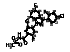 CS(=O)(=O)NC(=O)c1cc(Cl)c(-n2nc(-c3ccc(Cl)cc3F)c3cc(F)ccc32)cc1F